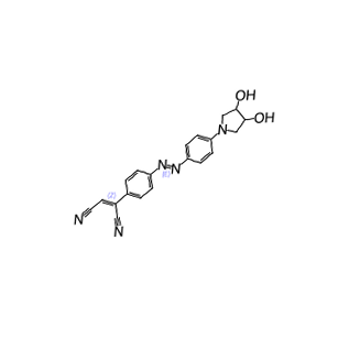 N#C/C=C(\C#N)c1ccc(/N=N/c2ccc(N3CC(O)C(O)C3)cc2)cc1